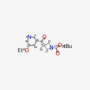 CCOc1cncc(C(=O)C2(C)CN(C(=O)OC(C)(C)C)C2)c1